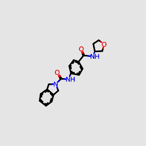 O=C(N[C@H]1CCOC1)c1ccc(NC(=O)N2Cc3ccccc3C2)cc1